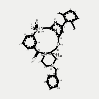 Cc1cccc(C)c1-c1cc2nc(n1)NS(=O)(=O)c1cccc(c1)C(=O)N1CCN(Cc3ccccc3)C[C@@H]1CO2